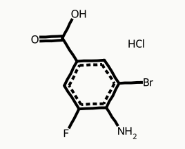 Cl.Nc1c(F)cc(C(=O)O)cc1Br